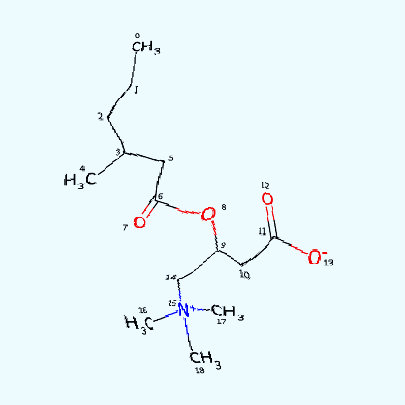 CCCC(C)CC(=O)OC(CC(=O)[O-])C[N+](C)(C)C